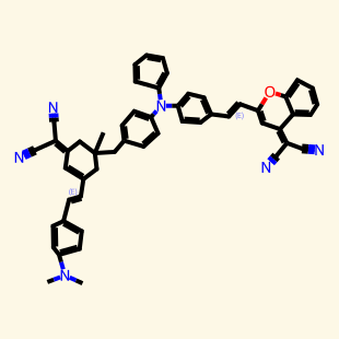 CN(C)c1ccc(/C=C/C2=CC(=C(C#N)C#N)CC(C)(Cc3ccc(N(c4ccccc4)c4ccc(/C=C/C5=CC(=C(C#N)C#N)c6ccccc6O5)cc4)cc3)C2)cc1